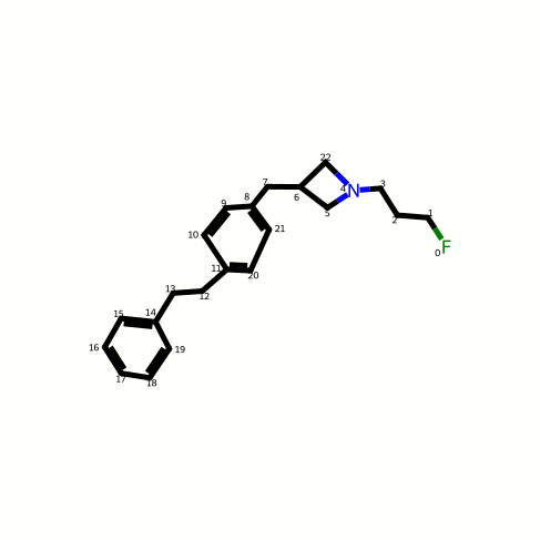 FCCCN1CC(Cc2ccc(CCc3ccccc3)cc2)C1